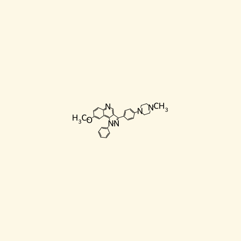 COc1ccc2ncc3c(-c4ccc(N5CCN(C)CC5)cc4)nn(-c4ccccc4)c3c2c1